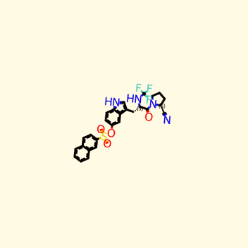 N#C[C@@H]1CCCN1C(=O)[C@H](Cc1c[nH]c2ccc(OS(=O)(=O)c3ccc4ccccc4c3)cc12)NC(F)(F)F